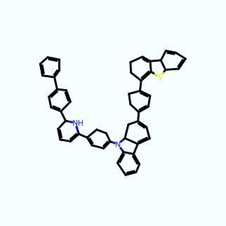 C1=CC(c2ccc(-c3ccccc3)cc2)NC(C2=CC=C(N3c4ccccc4C4=CC=C(C5=CC=C(C6=C7SC8C=CC=CC8C7=CCC6)CC5)CC43)CC2)=C1